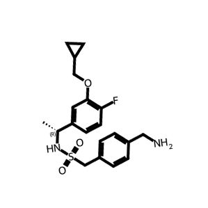 C[C@@H](NS(=O)(=O)Cc1ccc(CN)cc1)c1ccc(F)c(OCC2CC2)c1